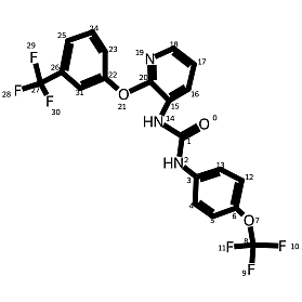 O=C(Nc1ccc(OC(F)(F)F)cc1)Nc1cccnc1Oc1cccc(C(F)(F)F)c1